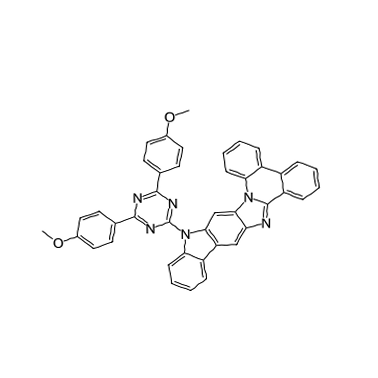 COc1ccc(-c2nc(-c3ccc(OC)cc3)nc(-n3c4ccccc4c4cc5nc6c7ccccc7c7ccccc7n6c5cc43)n2)cc1